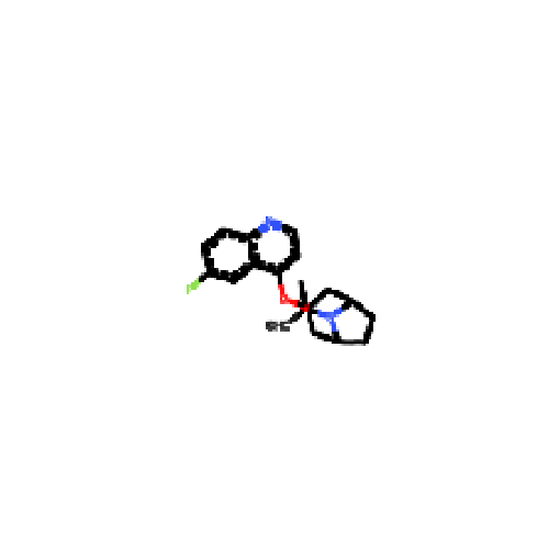 CC(C=O)N1C2CCC1CC(Oc1ccnc3ccc(F)cc13)C2